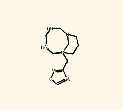 c1nc(C[N+]23CCCN(CNCNC2)C3)no1